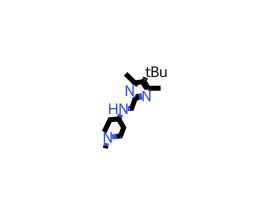 Cc1nc(CNC2CCN(C)CC2)nc(C)c1C(C)(C)C